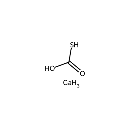 O=C(O)S.[GaH3]